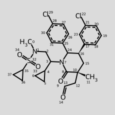 CN(CC(C1CC1)N1C(=O)[C@@](C)(CC=O)C[C@H](c2cccc(Cl)c2)C1c1ccc(Cl)cc1)S(=O)(=O)C1CC1